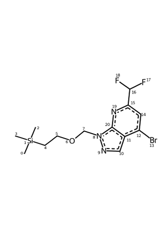 C[Si](C)(C)CCOCn1ncc2c(Br)cc(C(F)F)nc21